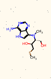 CSC[C@@H](O)[C@@H](CO)N(C)c1c[nH]c2c(N)ncnc12